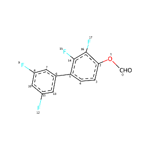 O=COc1ccc(-c2cc(F)cc(F)c2)c(F)c1F